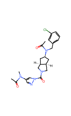 CC(=O)N(C)c1cnn(C(=O)N2C[C@H]3C[C@@H](N(Cc4cccc(Cl)c4)C(C)=O)C[C@H]3C2)c1